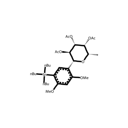 CCC[CH2][Sn]([CH2]CCC)([CH2]CCC)[c]1cc([C@H]2O[C@@H](C)[C@@H](OC(C)=O)[C@@H](OC(C)=O)[C@@H]2OC(C)=O)c(OC)cc1OC